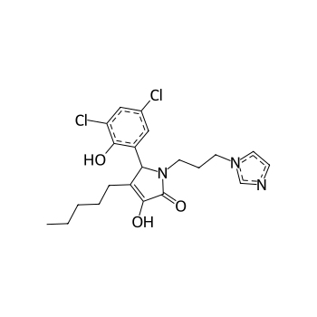 CCCCCC1=C(O)C(=O)N(CCCn2ccnc2)C1c1cc(Cl)cc(Cl)c1O